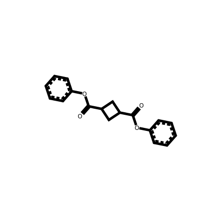 O=C(Oc1ccccc1)C1CC(C(=O)Oc2ccccc2)C1